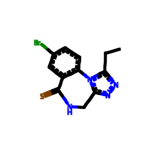 CCc1nnc2n1-c1ccc(Br)cc1C(=S)NC2